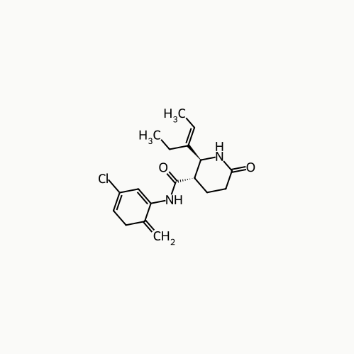 C=C1CC=C(Cl)C=C1NC(=O)[C@H]1CCC(=O)N[C@@H]1/C(=C/C)CC